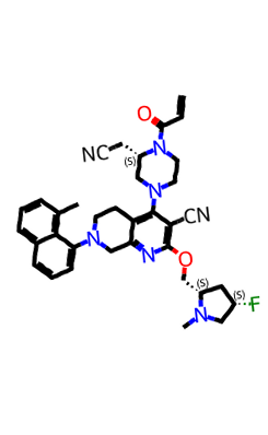 C=CC(=O)N1CCN(c2c(C#N)c(OC[C@@H]3C[C@H](F)CN3C)nc3c2CCN(c2cccc4cccc(C)c24)C3)C[C@@H]1CC#N